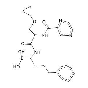 O=C(NC(COC1CC1)C(=O)NC(CCCc1ccccc1)B(O)O)c1cnccn1